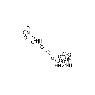 C[C@H](NC(=O)CCOCCOCCOCCNC(=O)CCCN1C(=O)C=CC1=O)C(=O)N[C@@H](C)C(=O)ON1C(=O)CCC1=O